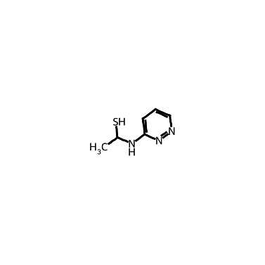 CC(S)Nc1cccnn1